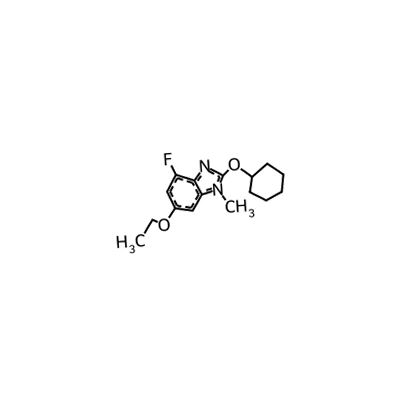 CCOc1cc(F)c2nc(OC3CCCCC3)n(C)c2c1